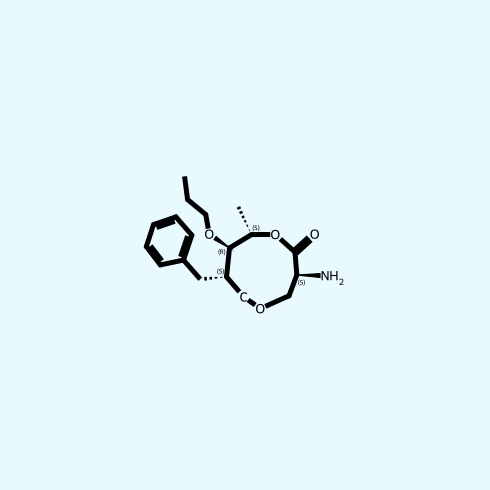 CCCO[C@@H]1[C@@H](Cc2ccccc2)COC[C@H](N)C(=O)O[C@H]1C